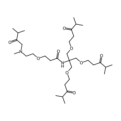 CC(C)C(=O)CCOCC(COCCC(=O)C(C)C)(COCCC(=O)C(C)C)NC(=O)CCOCCN(C)CC(=O)C(C)C